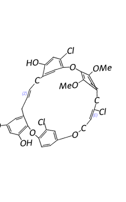 COc1cc2cc(OC)c1Oc1cc(c(O)cc1Cl)C/C=C\Cc1cc(O)cc(O)c1Oc1ccc(cc1Cl)OC/C=C(/Cl)C2